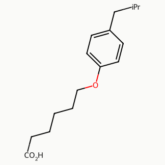 CC(C)Cc1ccc(OCCCCCC(=O)O)cc1